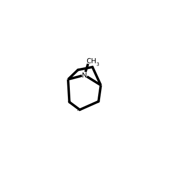 CN1C2C[C]CC1CC2